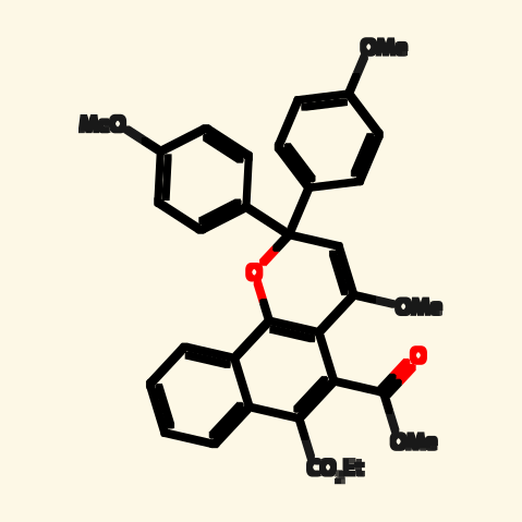 CCOC(=O)c1c(C(=O)OC)c2c(c3ccccc13)OC(c1ccc(OC)cc1)(c1ccc(OC)cc1)C=C2OC